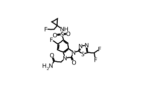 NC(=O)Cn1c(=O)n(-c2nnc(C(F)F)s2)c2cc(S(=O)(=O)NC3(CF)CC3)c(F)cc21